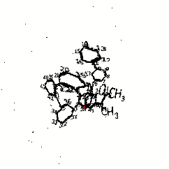 Cc1oc2c(N(C3=CC=CC(c4ccccc4)C3)C3CC=CC4=C3C3CCC=CC3C3C=CCCC(C3)C3=C4C=CCC3)cccc2c1C